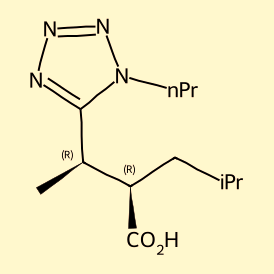 CCCn1nnnc1[C@H](C)[C@@H](CC(C)C)C(=O)O